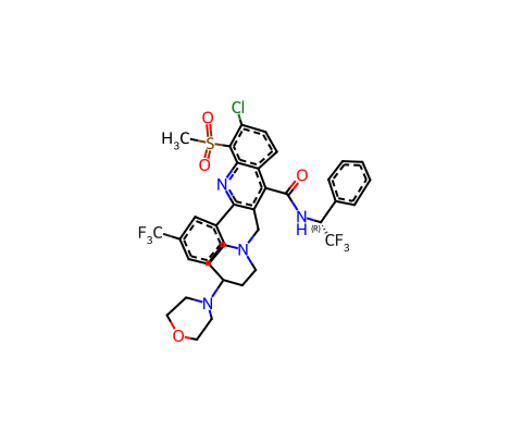 CS(=O)(=O)c1c(Cl)ccc2c(C(=O)N[C@H](c3ccccc3)C(F)(F)F)c(CN3CCC(N4CCOCC4)CC3)c(-c3cccc(C(F)(F)F)c3)nc12